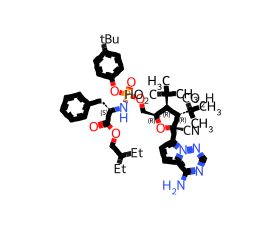 CCC(CC)COC(=O)[C@H](Cc1ccccc1)NP(=O)(OC[C@@H]1O[C@@](C#N)(c2ccc3c(N)ncnn23)[C@@H](C(C)(C)C(=O)O)[C@@H]1C(C)(C)C(=O)O)Oc1ccc(C(C)(C)C)cc1